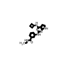 CCNC(=O)c1cccc(Nc2nc(NC3CCC3)c3cc[nH]c3n2)c1